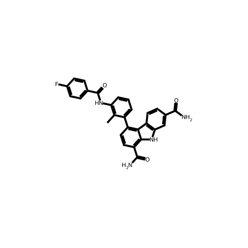 Cc1c(NC(=O)c2ccc(F)cc2)cccc1-c1ccc(C(N)=O)c2[nH]c3cc(C(N)=O)ccc3c12